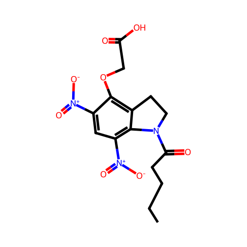 CCCCC(=O)N1CCc2c(OCC(=O)O)c([N+](=O)[O-])cc([N+](=O)[O-])c21